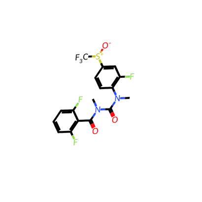 CN(C(=O)c1c(F)cccc1F)C(=O)N(C)c1ccc([S+]([O-])C(F)(F)F)cc1F